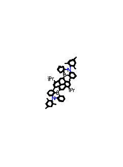 Cc1cc(C)c(N2c3ccccc3B3c4c(cccc42)-c2cc(C(C)C)c4cc5c6c(cc(C(C)C)c7cc3c2c4c76)-c2cccc3c2B5c2ccccc2N3c2c(C)cc(C)cc2C)c(C)c1